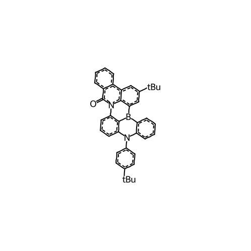 CC(C)(C)c1ccc(N2c3ccccc3B3c4c2cccc4-n2c(=O)c4ccccc4c4cc(C(C)(C)C)cc3c42)cc1